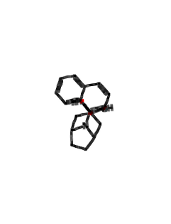 CCCC1(O)CC2CCC(C1)N2c1cccc2ccccc12